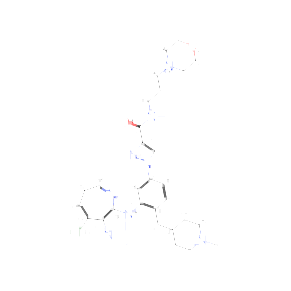 CN1CCC(Cc2ccc(-n3cc(C(=O)NCCCN4CCOCC4)[nH]3)cc2NC2=C(N)C(Cl)=CCC=N2)CC1